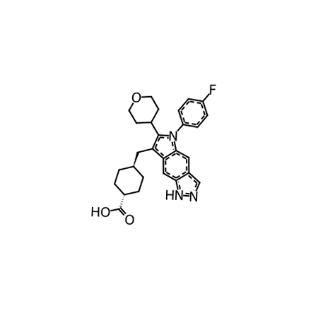 O=C(O)[C@H]1CC[C@H](Cc2c(C3CCOCC3)n(-c3ccc(F)cc3)c3cc4cn[nH]c4cc23)CC1